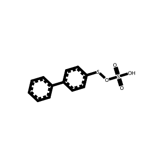 O=S(=O)(O)OSc1ccc(-c2ccccc2)cc1